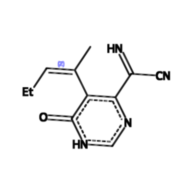 CC/C=C(/C)c1c(C(=N)C#N)nc[nH]c1=O